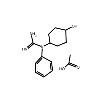 CC(=O)O.N=C(N)N(c1ccccc1)C1CCC(O)CC1